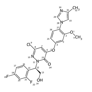 COc1cc(Oc2cc(Cl)nn([C@@H](CO)c3ccc(F)cc3F)c2=O)ccc1-n1cnc(C)c1